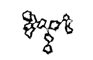 c1ccc(-c2ccc(N(c3ccc(-c4cccc5oc6ccccc6c45)cc3)c3ccc(-c4cc5ccccc5c5ccc6ccccc6c45)cc3)cc2)cc1